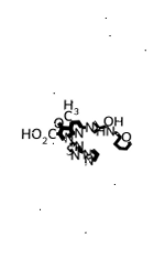 Cc1cc(N2CC(C(O)NCC3CCCCO3)C2)nc2c1c(=O)c(C(=O)O)cn2-c1nc(-n2cccn2)ns1